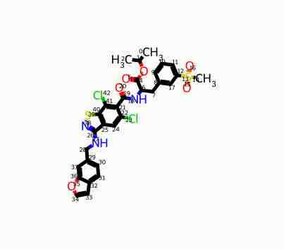 CC(C)OC(=O)C(Cc1cccc(S(C)(=O)=O)c1)NC(=O)c1c(Cl)cc2c(NCc3ccc4ccoc4c3)nsc2c1Cl